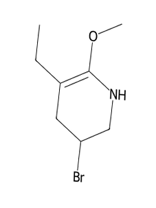 CCC1=C(OC)NCC(Br)C1